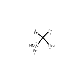 CCCCC(CC)(CC)C(=O)O.[Pr]